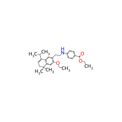 CCOC(=O)c1ccc(NCCc2cc3c(cc2OCC)C(C)(C)CC=C3C(C)C)cc1